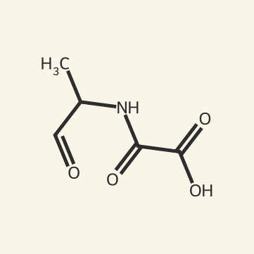 CC(C=O)NC(=O)C(=O)O